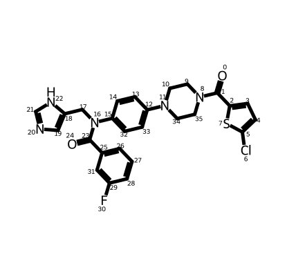 O=C(c1ccc(Cl)s1)N1CCN(c2ccc(N(Cc3cnc[nH]3)C(=O)c3cccc(F)c3)cc2)CC1